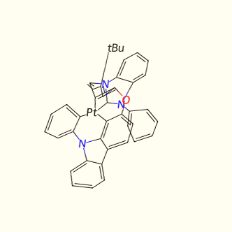 CC(C)(C)c1cc2[c]3c(c1)N1c4ccccc4N(c4ccccc4)[CH]1[Pt]31[c]3ccccc3-n3c4ccccc4c4ccc([c]1c43)O2